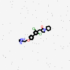 O=C1C(Cc2c(Cl)cc(-c3ccc(OCCc4ncc[nH]4)cc3)cc2Cl)CCN1C1CCCCC1